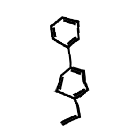 C=Cc1[c]cc(-c2ccccc2)cc1